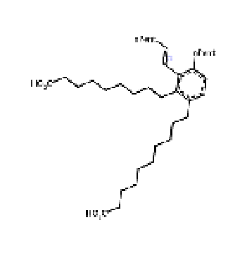 CCCCC/C=C/c1c(CCCCC)ccc(CCCCCCCCCC(=O)O)c1CCCCCCCCC(=O)O